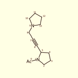 CC(=O)N1CCCC1C#CCN1CCCC1